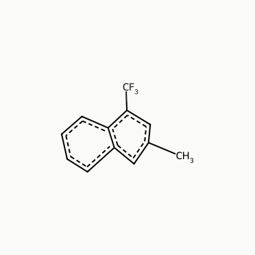 Cc1cc(C(F)(F)F)c2ccccc2c1